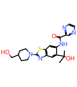 CC(C)(O)c1cc2nc(N3CCC(CO)CC3)sc2cc1NC(=O)c1cnccn1